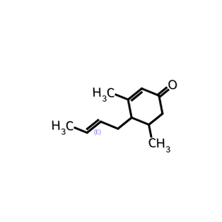 C/C=C/CC1C(C)=CC(=O)CC1C